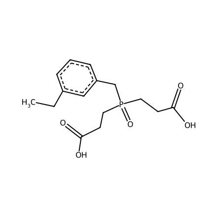 CCc1cccc(CP(=O)(CCC(=O)O)CCC(=O)O)c1